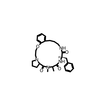 CC1C(=O)N[C@H](Cc2ccccc2)C(=O)NCCCc2ccccc2OCCN2CCCC2C(=O)N1C